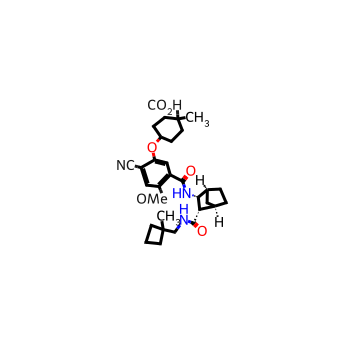 COc1cc(C#N)c(OC2CCC(C)(C(=O)O)CC2)cc1C(=O)N[C@@H]1[C@H]2CC[C@H](C2)[C@@H]1C(=O)NCC1(C)CCC1